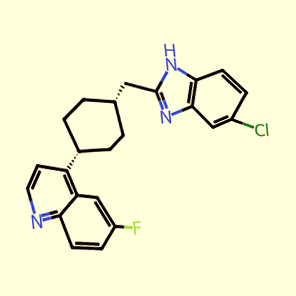 Fc1ccc2nccc([C@H]3CC[C@@H](Cc4nc5cc(Cl)ccc5[nH]4)CC3)c2c1